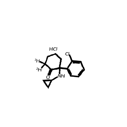 Cl.[2H]C1([2H])CCCC(NC2CC2)(c2ccccc2Cl)C1=O